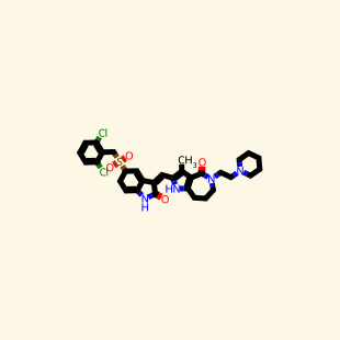 Cc1c(/C=C2\C(=O)NC3=CCC(S(=O)(=O)Cc4c(Cl)cccc4Cl)C=C32)[nH]c2c1C(=O)N(CCN1CCCCC1)CCC2